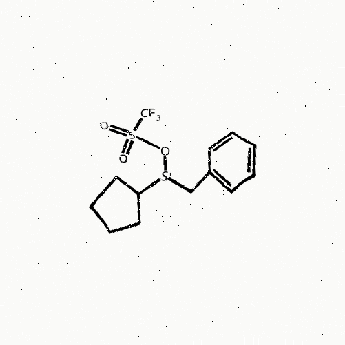 O=S(=O)(O[S+](Cc1ccccc1)C1CCCC1)C(F)(F)F